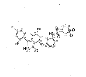 NC(=O)c1c(Nc2ccc(I)cc2F)cc(F)cc1Oc1cncc(NS(=O)(=O)C2CCS(=O)(=O)C2)c1